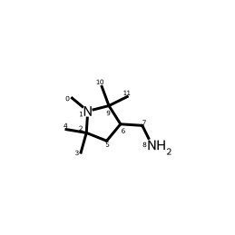 CN1C(C)(C)CC(CN)C1(C)C